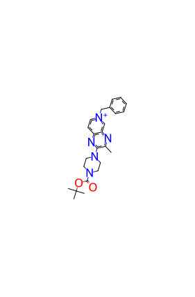 Cc1nc2c[n+](Cc3ccccc3)ccc2nc1N1CCN(C(=O)OC(C)(C)C)CC1